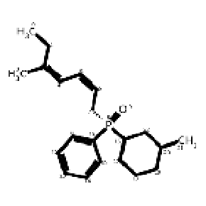 CC/C(C)=C\C=C/C[P@@](=O)(c1ccccc1)C1CCCC(C)C1